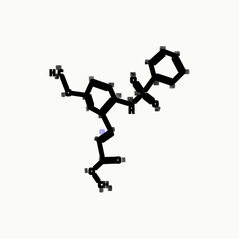 COC(=O)/C=C/c1cc(OC)ccc1NS(=O)(=O)c1ccccc1